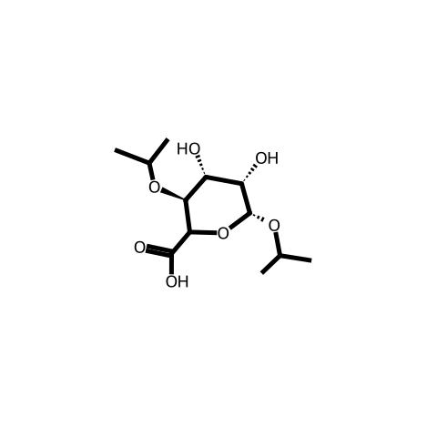 CC(C)O[C@@H]1OC(C(=O)O)[C@@H](OC(C)C)[C@H](O)[C@@H]1O